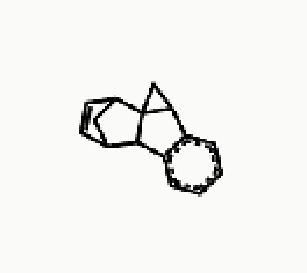 C1=CC2CC1C1c3ccccc3C3CC231